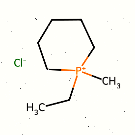 CC[P+]1(C)CCCCC1.[Cl-]